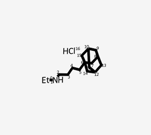 CCNCCCCC12CC3CC(CC(C3)C1)C2.Cl